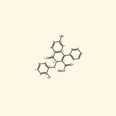 COC(=O)c1c(-c2ccccc2)c2cc(Br)ccc2c(=O)n1Cc1ccccc1F